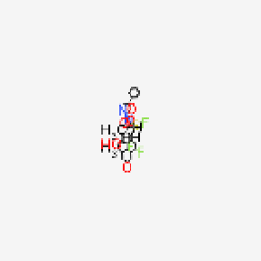 C[C@]12C=CC(=O)C=C1[C@@H](F)C[C@H]1[C@@H]3C[C@H]4CN(c5ncc(-c6ccccc6)o5)O[C@@]4(C(=O)SCF)[C@@]3(C)C[C@H](O)[C@@]12F